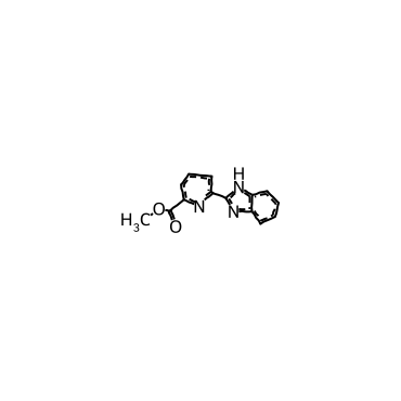 COC(=O)c1cccc(-c2nc3ccccc3[nH]2)n1